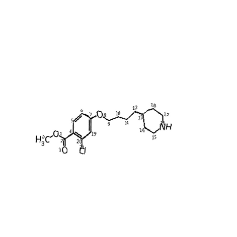 COC(=O)c1ccc(OCCCCC2CCNCC2)cc1Cl